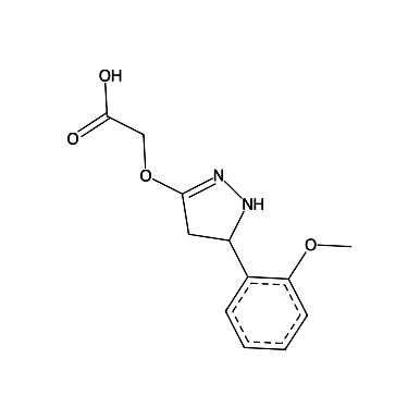 COc1ccccc1C1CC(OCC(=O)O)=NN1